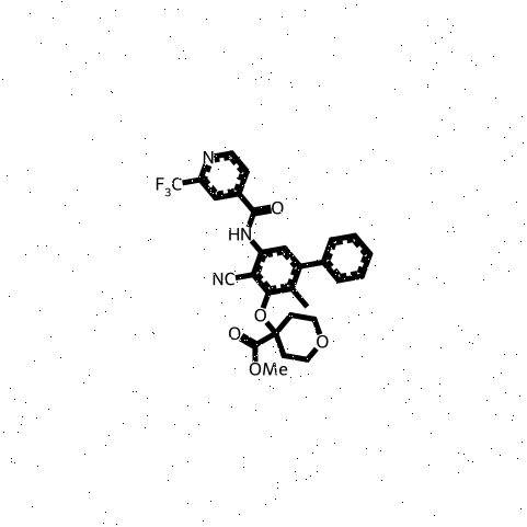 COC(=O)C1(Oc2c(C)c(-c3ccccc3)cc(NC(=O)c3ccnc(C(F)(F)F)c3)c2C#N)CCOCC1